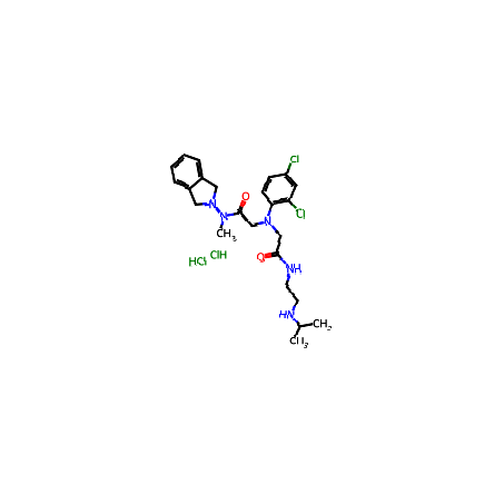 CC(C)NCCNC(=O)CN(CC(=O)N(C)N1Cc2ccccc2C1)c1ccc(Cl)cc1Cl.Cl.Cl